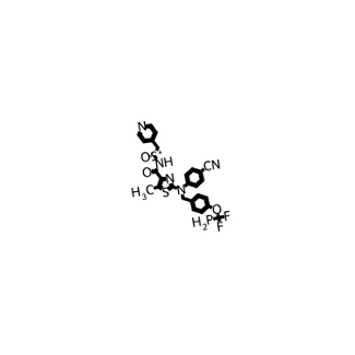 Cc1sc(N(Cc2ccc(OC(F)(F)P)cc2)c2ccc(C#N)cc2)nc1C(=O)N[S+]([O-])Cc1ccncc1